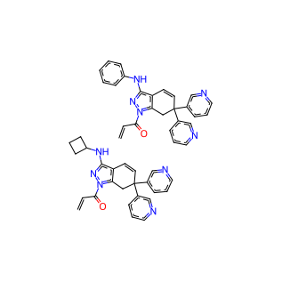 C=CC(=O)n1nc(NC2CCC2)c2c1CC(c1cccnc1)(c1cccnc1)C=C2.C=CC(=O)n1nc(Nc2ccccc2)c2c1CC(c1cccnc1)(c1cccnc1)C=C2